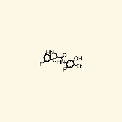 CCc1cc(F)c(NC(=O)C2CNc3ccc(F)cc3O2)cc1O